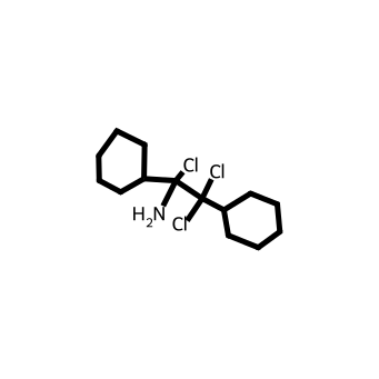 NC(Cl)(C1CCCCC1)C(Cl)(Cl)C1CCCCC1